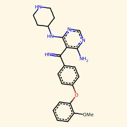 COc1ccccc1Oc1ccc(C(=N)c2c(N)ncnc2NC2CCNCC2)cc1